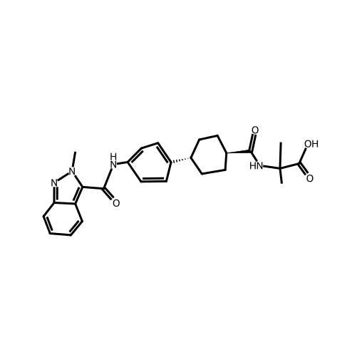 Cn1nc2ccccc2c1C(=O)Nc1ccc([C@H]2CC[C@H](C(=O)NC(C)(C)C(=O)O)CC2)cc1